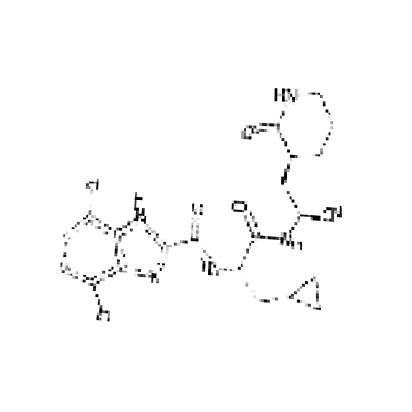 N#C[C@H](C[C@@H]1CCCNC1=O)NC(=O)[C@H](CC1CC1)NC(=O)c1nc2c(Cl)ccc(Cl)c2[nH]1